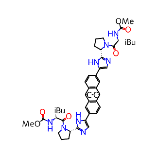 CC[C@H](C)[C@H](NC(=O)OC)C(=O)N1CCC[C@H]1c1ncc(-c2ccc3c(c2)C2CCC3c3cc(-c4cnc([C@@H]5CCCN5C(=O)[C@@H](NC(=O)OC)[C@@H](C)CC)[nH]4)ccc32)[nH]1